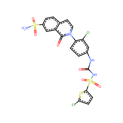 NS(=O)(=O)c1ccc2ccn(-c3ccc(NC(=O)NS(=O)(=O)c4ccc(Cl)s4)cc3Cl)c(=O)c2c1